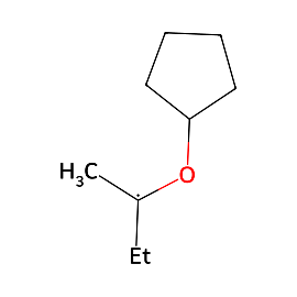 CC[C](C)OC1CCCC1